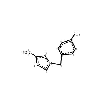 O=C(O)c1ncn(Cc2ccc(C(F)(F)F)cc2)n1